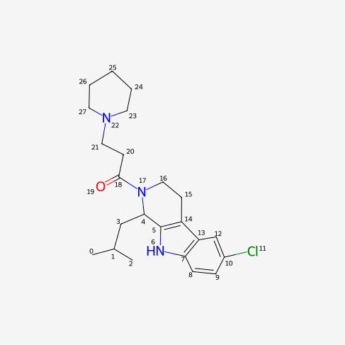 CC(C)CC1c2[nH]c3ccc(Cl)cc3c2CCN1C(=O)CCN1CCCCC1